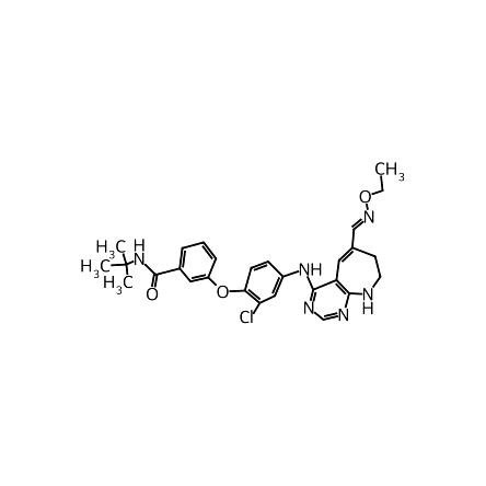 CCON=CC1=Cc2c(ncnc2Nc2ccc(Oc3cccc(C(=O)NC(C)(C)C)c3)c(Cl)c2)NCC1